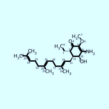 CC[C@@H]1C(=O)C(OC)=C(N)[C@@H](O)[C@H]1C/C=C(\C)CC/C=C(\C)CCC=C(C)C